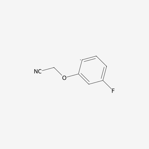 N#CCOc1[c]ccc(F)c1